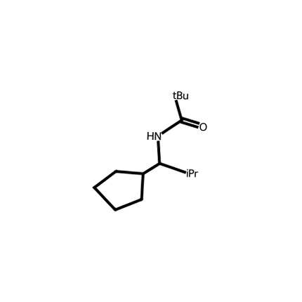 CC(C)C(NC(=O)C(C)(C)C)C1CCCC1